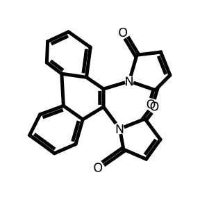 O=C1C=CC(=O)N1c1c(N2C(=O)C=CC2=O)c2ccccc2c2ccccc12